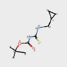 CC(C)(C)OC(=O)NC(=S)NCC1CC1